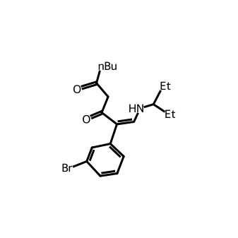 CCCCC(=O)CC(=O)C(=CNC(CC)CC)c1cccc(Br)c1